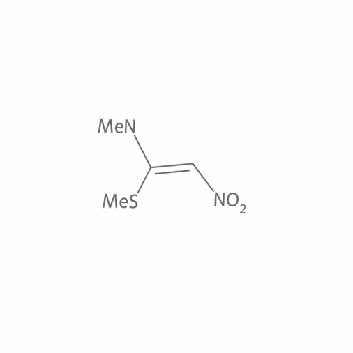 CN/C(=C/[N+](=O)[O-])SC